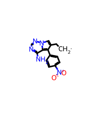 [CH2]Cc1cn2ncnc(N)c2c1-c1ccc([N+](=O)[O-])cc1